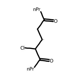 CCCC(=O)C[CH]C(Cl)C(=O)CCC